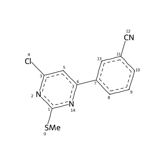 CSc1nc(Cl)cc(-c2cccc(C#N)c2)n1